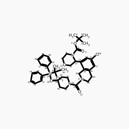 CC(C)(C)OC(=O)N1CCOCC1c1cc(Cl)cc2c1CN(C(=O)N1CCC(O[Si](c3ccccc3)(c3ccccc3)C(C)(C)C)CC1)CC2